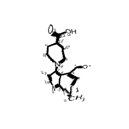 Cn1cc(C=O)c2c(N3CCC(C(=O)O)CC3)ccnc21